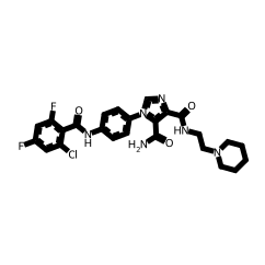 NC(=O)c1c(C(=O)NCCN2CCCCC2)ncn1-c1ccc(NC(=O)c2c(F)cc(F)cc2Cl)cc1